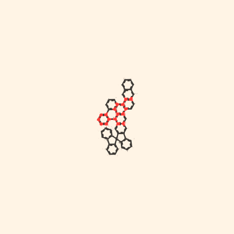 c1ccc(-c2ccccc2-c2c(-c3ccccc3)cccc2-c2ccccc2N(c2ccc(-c3ccc4ccccc4c3)cc2)c2ccc3c(c2)C2(c4ccccc4-c4ccccc42)c2ccccc2-3)cc1